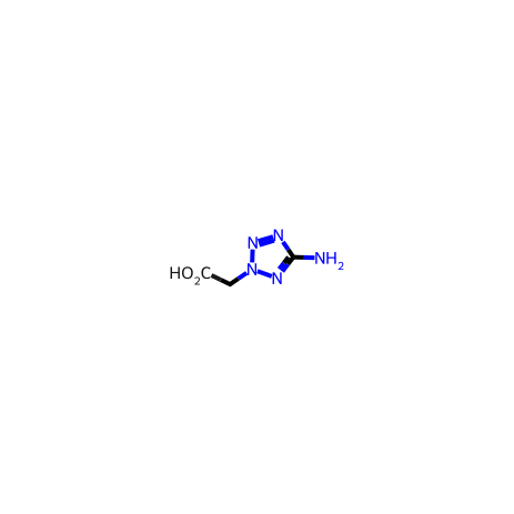 Nc1nnn(CC(=O)O)n1